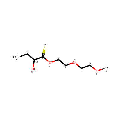 CCOCCOCCOC(=S)C(O)CC(=O)O